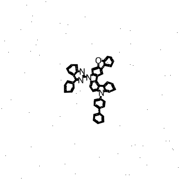 c1ccc(-c2ccc(-n3c4ccccc4c4c5c6cc7c(cc6n(-c6nc(-c8ccccc8)c8ccccc8n6)c5ccc43)oc3ccccc37)cc2)cc1